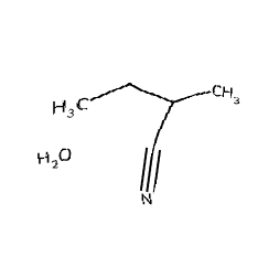 CCC(C)C#N.O